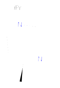 CC(C)N1CC[C@H](C)N(C)CC1